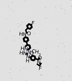 COc1cc(C(=O)N2CC(F)C2)ccc1NC(=N)/N=c1/ccc(-c2ccc(NC(=O)Cc3ccc(F)cc3)cc2)c[nH]1